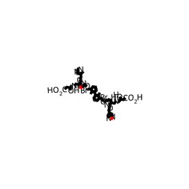 Cc1c(COc2nc(OCc3cncnc3)c(CNCC(O)CC(=O)O)cc2Br)cccc1-c1cccc(COc2nc(OCc3cncnc3)c(CNCC(O)CC(=O)O)cc2Br)c1C